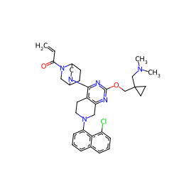 C=CC(=O)N1CC2CCC1CN2c1nc(OCC2(CN(C)C)CC2)nc2c1CCN(c1cccc3cccc(Cl)c13)C2